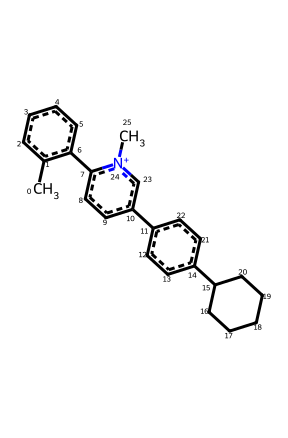 Cc1ccccc1-c1ccc(-c2ccc(C3CCCCC3)cc2)c[n+]1C